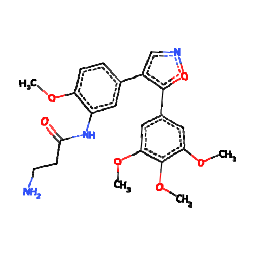 COc1ccc(-c2cnoc2-c2cc(OC)c(OC)c(OC)c2)cc1NC(=O)CCN